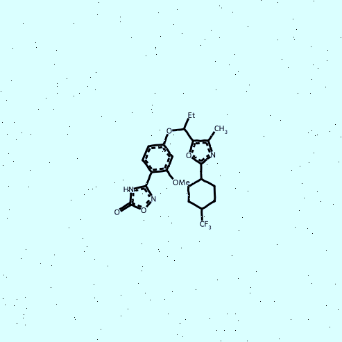 CCC(Oc1ccc(-c2noc(=O)[nH]2)c(OC)c1)c1oc(C2CCC(C(F)(F)F)CC2)nc1C